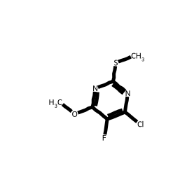 COc1nc(SC)nc(Cl)c1F